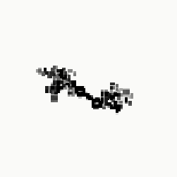 COC(=O)N[C@H](C(=O)N1C[C@]2(CNC(=O)O2)C[C@H]1c1ncc(-c2ccc(C#Cc3ccc4nc([C@@H]5CC6(CC6)CN5C(=O)[C@@H](C)C(C)C)[nH]c4c3)cc2)[nH]1)C(C)C